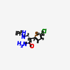 CC(C)NC[C@@H](C(N)=O)c1ccc(Cl)s1